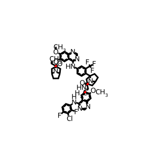 C=CC(=O)N1C2CCC1CC(Oc1cc3c(Nc4ccc(C56CCC(CC(Nc7cc8c(Nc9ccc(F)c(Cl)c9F)ncnc8cc7OC)C5)N6C(=O)C=C)c(C(F)(F)F)c4)ncnc3cc1OC)C2